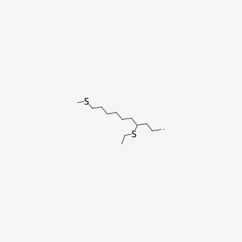 [CH2]CCC(CCCCCCSC)SCC